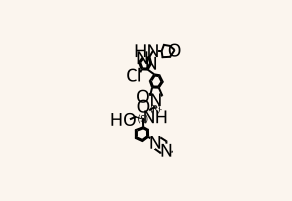 C[C@H](C(=O)N[C@H](CO)c1cccc(N2CCN(C)CC2)c1)N1Cc2ccc(-c3nc(NC4CCOCC4)ncc3Cl)cc2C1=O